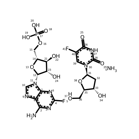 N.Nc1nc(F)nc2c1ncn2[C@@H]1O[C@H](COP(=O)(O)O)[C@@H](O)[C@@H]1O.O=c1[nH]c(=O)n([C@H]2C[C@H](O)[C@@H](CO)O2)cc1F